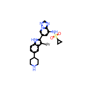 CC(C)c1c(-c2cc(NS(=O)(=O)C3CC3)c3ncnn3c2)[nH]c2ccc(C3CCNCC3)cc12